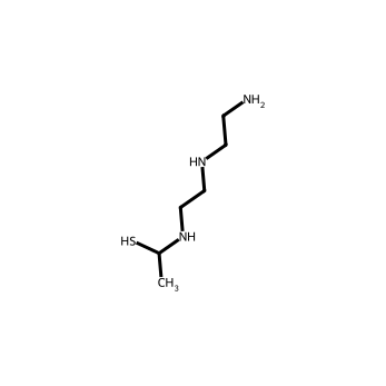 CC(S)NCCNCCN